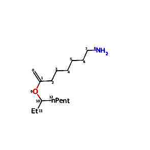 C=C(CCCCCCN)OC(CC)CCCCC